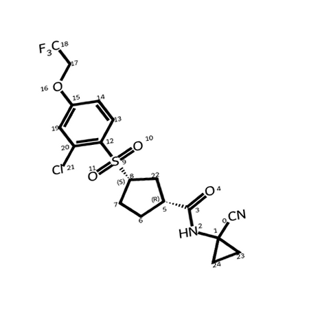 N#CC1(NC(=O)[C@@H]2CC[C@H](S(=O)(=O)c3ccc(OCC(F)(F)F)cc3Cl)C2)CC1